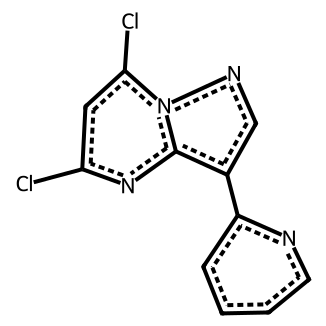 Clc1cc(Cl)n2ncc(-c3ccccn3)c2n1